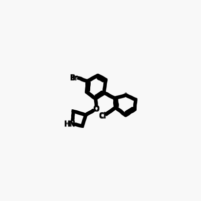 ClC1=C(c2ccc(Br)cc2OC2CNC2)[CH]CC=C1